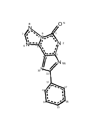 O=c1nc2c(c3ncnn13)=NC(c1ccccc1)=N2